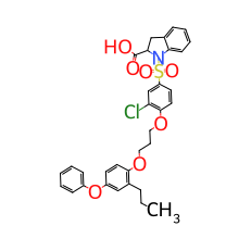 CCCc1cc(Oc2ccccc2)ccc1OCCCOc1ccc(S(=O)(=O)N2c3ccccc3CC2C(=O)O)cc1Cl